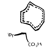 CC(C)CC(=O)O.c1ccccc1